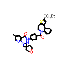 CCOC(=O)c1cc2c(s1)CCN(C(=O)c1ccc(NC(=O)c3cc(C)cnc3N3CC4(CCOCC4)C3)cc1)c1ccccc1-2